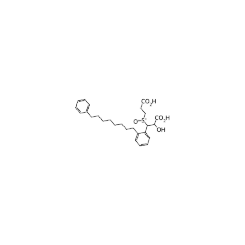 O=C(O)CC[S+]([O-])C(c1ccccc1CCCCCCCCc1ccccc1)C(O)C(=O)O